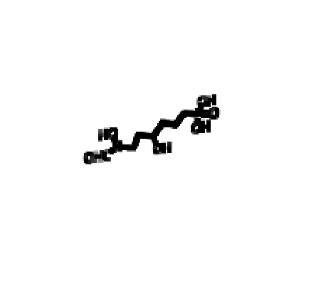 O=CN(O)CC[C@H](O)CCCP(=O)(O)O